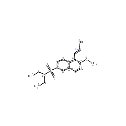 CCN(CC)S(=O)(=O)c1ccc2c(/C=N/O)c(OC)ccc2c1